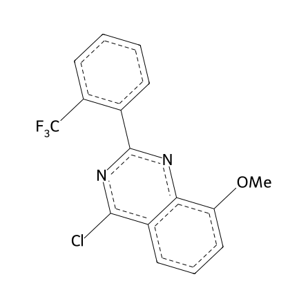 COc1cccc2c(Cl)nc(-c3ccccc3C(F)(F)F)nc12